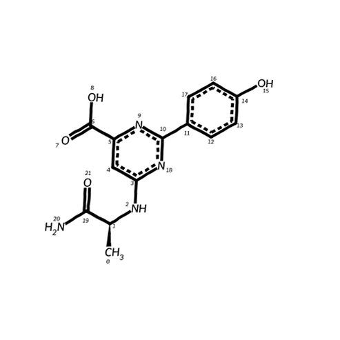 C[C@H](Nc1cc(C(=O)O)nc(-c2ccc(O)cc2)n1)C(N)=O